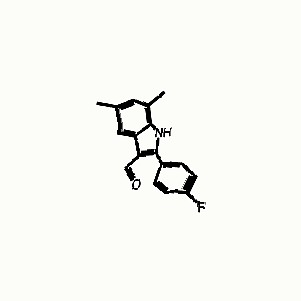 Cc1cc(C)c2[nH]c(-c3ccc(F)cc3)c(C=O)c2c1